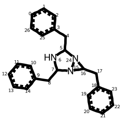 c1ccc(CC2NC(Cc3ccccc3)N3C(Cc4ccccc4)N23)cc1